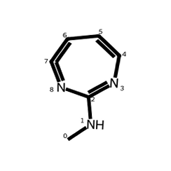 CNC1=NC=CC=C=N1